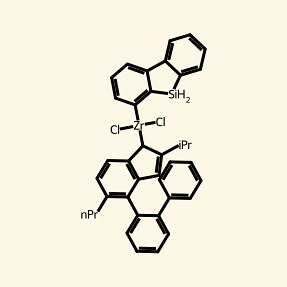 CCCc1ccc2c(c1-c1ccccc1-c1ccccc1)C=C(C(C)C)[CH]2[Zr]([Cl])([Cl])[c]1cccc2c1[SiH2]c1ccccc1-2